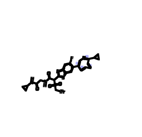 CC(C)CS(=O)(=O)C(C(=O)NCC(=O)NC1CC1)c1nc2cc(F)c(C3=C/N=C(C4CC4)\C=C\C=C\3)cc2s1